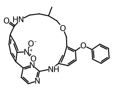 CC1CCNC(=O)c2ccc(c([N+](=O)[O-])c2)-c2ccnc(n2)Nc2ccc(Oc3ccccc3)c(c2)COC1